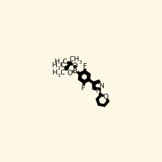 CC1(C)OB(c2cc(F)c(-c3cnn(C4CCCCO4)c3)cc2F)OC1(C)C